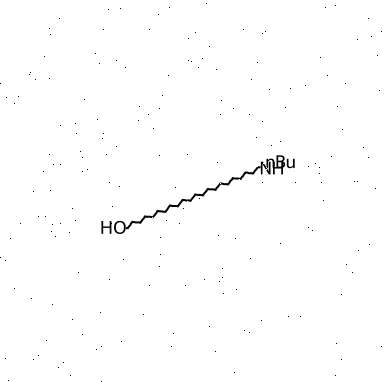 CCCCNCCCCCCCCCCCCCCCCCCCCCCO